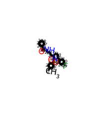 Cc1ccc(S(=O)(=O)N2C(CCCNC(=O)c3ccccc3)CCC2c2ccc(F)cc2)cc1